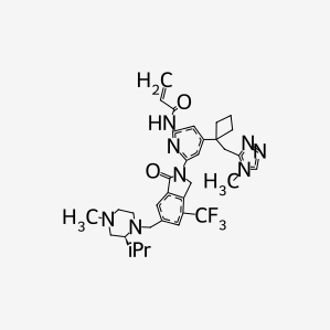 C=CC(=O)Nc1cc(C2(Cc3nncn3C)CCC2)cc(N2Cc3c(cc(CN4CCN(C)C[C@@H]4C(C)C)cc3C(F)(F)F)C2=O)n1